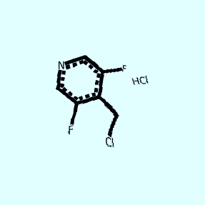 Cl.Fc1cncc(F)c1CCl